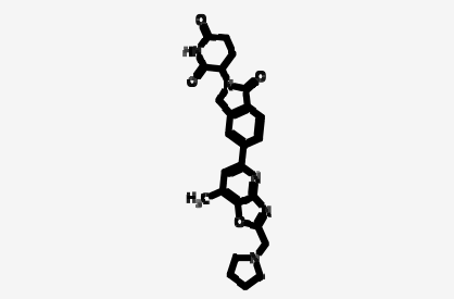 Cc1cc(-c2ccc3c(c2)CN(C2CCC(=O)NC2=O)C3=O)nc2nc(CN3CCCC3)oc12